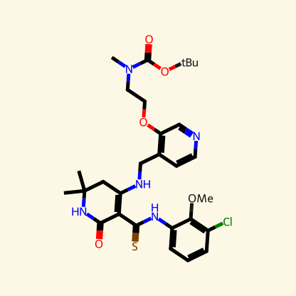 COc1c(Cl)cccc1NC(=S)C1=C(NCc2ccncc2OCCN(C)C(=O)OC(C)(C)C)CC(C)(C)NC1=O